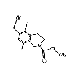 Cc1cc(CBr)c(F)c2c1CN(C(=O)OC(C)(C)C)CC2